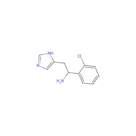 NC(Cc1cnc[nH]1)c1ccccc1Cl